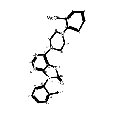 COc1ccccc1N1CCN(c2ncnc3c2sc(=S)n3-c2ccccc2F)CC1